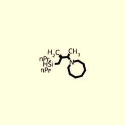 C=C(C[SiH](CCC)CCC)C(C)N1CCCCCCC1